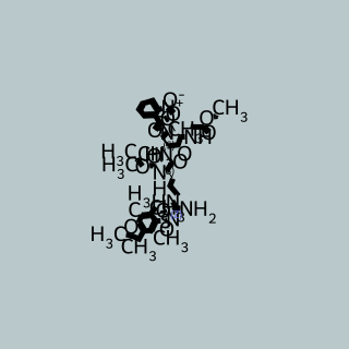 CCOC(=O)CNCC(=O)[C@H](CN(C)S(=O)(=O)c1ccccc1[N+](=O)[O-])NC(=O)[C@H](CCCN/C(N)=N\S(=O)(=O)c1c(C)c(C)c2c(c1C)CC(C)(C)O2)NC(=O)OC(C)(C)C